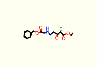 CCOC(=O)C(Cl)C(=O)CCNCC(=O)OCc1ccccc1